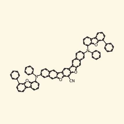 N#Cc1c2oc3cc4cc(N(c5ccccc5)c5cccc6c5oc5c(-c7ccccc7)cccc56)ccc4cc3c2cc2c1oc1cc3cc(N(c4ccccc4)c4cccc5c4oc4c(-c6ccccc6)cccc45)ccc3cc12